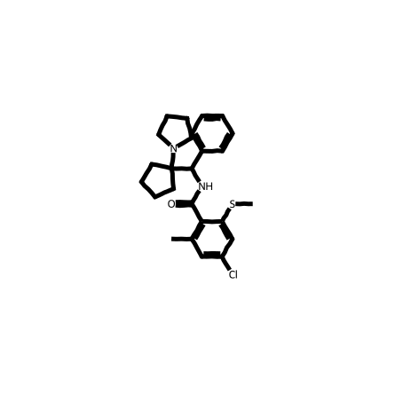 CSc1cc(Cl)cc(C)c1C(=O)NC(c1ccccc1)C1(N2CCCC2)CCCC1